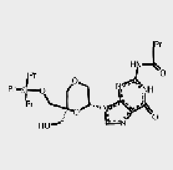 CC(C)C(=O)Nc1nc2c(ncn2[C@H]2COC[C@](CO)(CO[Si](C(C)C)(C(C)C)C(C)C)O2)c(=O)[nH]1